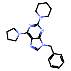 c1ccc(Cn2cnc3c(N4CCCC4)nc(N4CCCCC4)nc32)cc1